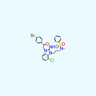 CN(CCCn1c(=N)n(CC(=O)c2ccc(Br)cc2)c2cccc(Cl)c21)S(=O)(=O)c1ccccc1